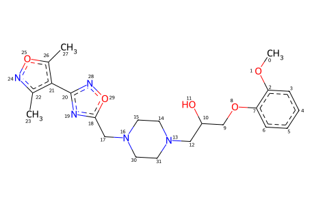 COc1ccccc1OCC(O)CN1CCN(Cc2nc(-c3c(C)noc3C)no2)CC1